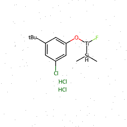 C[SiH](C)[Ti]([F])[O]c1cc(Cl)cc(C(C)(C)C)c1.Cl.Cl